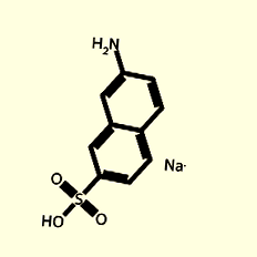 Nc1ccc2ccc(S(=O)(=O)O)cc2c1.[Na]